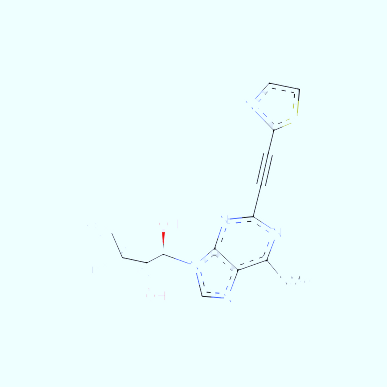 CC[C@H](C(=O)O)[C@@H](O)[C@@H](O)n1cnc2c(NC)nc(C#Cc3nccs3)nc21